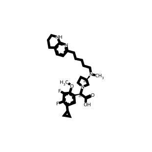 COc1c([C@H](C(=O)O)N2CC[C@@H](N(C)CCCCCc3ccc4c(n3)NCCC4)C2)cc(C2CC2)c(F)c1F